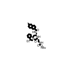 CCCCOC(=O)NCC[C@@H]1N[C@H](CNC(=O)c2ccc3cc(I)ccc3c2)CCN(C[C@@H](CC)c2ccccc2)C1=O